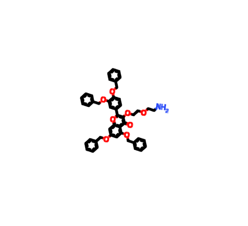 NCCOCCOc1c(-c2ccc(OCc3ccccc3)c(OCc3ccccc3)c2)oc2cc(OCc3ccccc3)cc(OCc3ccccc3)c2c1=O